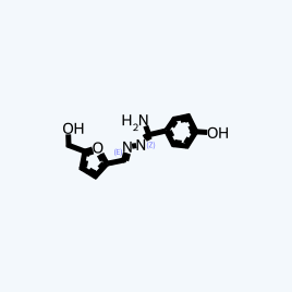 N/C(=N\N=C\c1ccc(CO)o1)c1ccc(O)cc1